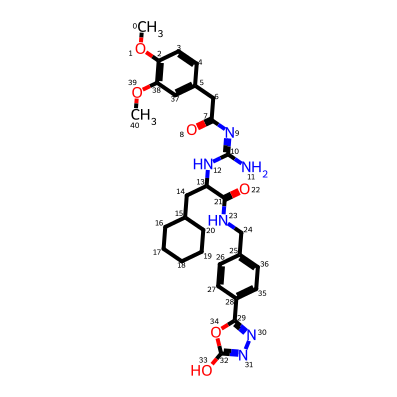 COc1ccc(CC(=O)N=C(N)NC(CC2CCCCC2)C(=O)NCc2ccc(-c3nnc(O)o3)cc2)cc1OC